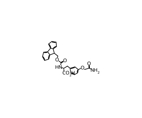 NC(=O)COc1cccc(C[C@H](NC(=O)OCC2c3ccccc3-c3ccccc32)C(=O)O)c1